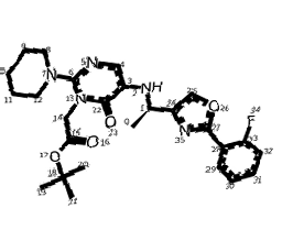 C[C@@H](Nc1cnc(N2CCCCC2)n(CC(=O)OC(C)(C)C)c1=O)c1coc(-c2ccccc2F)n1